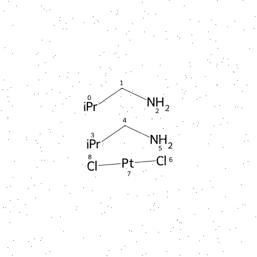 CC(C)CN.CC(C)CN.[Cl][Pt][Cl]